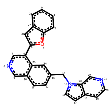 c1ccc2oc(-c3cncc4ccc(Cn5ccc6ccncc65)cc34)cc2c1